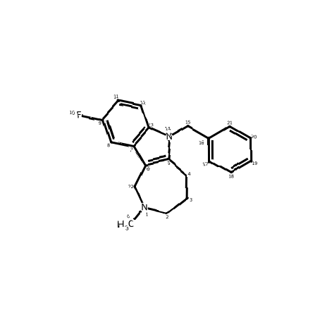 CN1CCCc2c(c3cc(F)ccc3n2Cc2ccccc2)C1